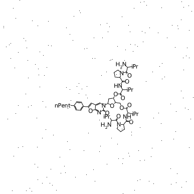 CCCCCc1ccc(-c2cc3cn(C4CC(OC(=O)C(NC(=O)C5CCCN5C(=O)C(N)C(C)C)C(C)C)C(COC(=O)C(NC(=O)C5CCCN5C(=O)C(N)C(C)C)C(C)C)O4)c(=O)nc3o2)cc1